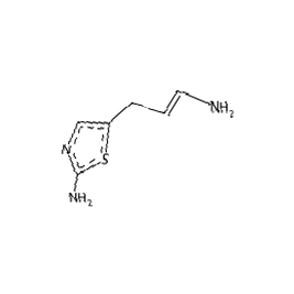 NC=CCc1cnc(N)s1